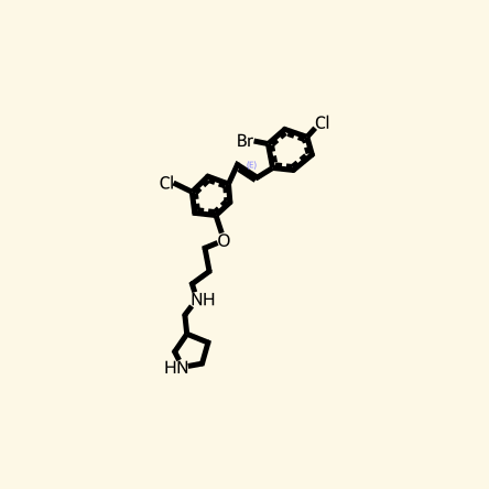 Clc1cc(/C=C/c2ccc(Cl)cc2Br)cc(OCCCNCC2CCNC2)c1